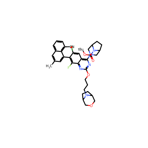 Cc1cc(-c2c(Cl)cc3c(N4CC5CCC(C4)N5C(=O)OC(C)(C)C)nc(OCCCN4C5CCC4COC5)nc3c2F)c2c(C#N)cccc2c1